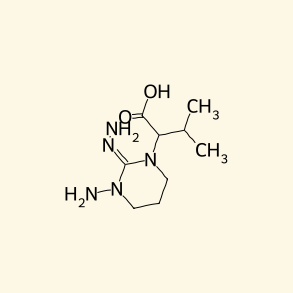 CC(C)C(C(=O)O)N1CCCN(N)/C1=N/N